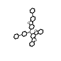 c1ccc(-c2ccc(N(c3ccc4c(c3)oc3cc(-c5ccccc5)ccc34)c3cc4c5ccccc5sc4c4c3oc3ccccc34)cc2)cc1